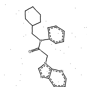 O=C(Cn1cnc2cccnc21)N(CC1CCCCC1)c1ccccc1